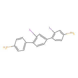 Pc1ccc(-c2ccc(-c3ccc(P)cc3I)cc2I)cc1